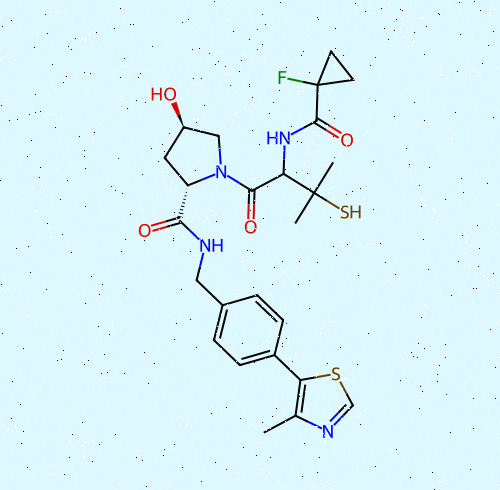 Cc1ncsc1-c1ccc(CNC(=O)[C@@H]2C[C@@H](O)CN2C(=O)C(NC(=O)C2(F)CC2)C(C)(C)S)cc1